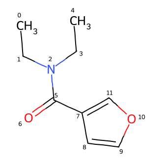 CCN(CC)C(=O)c1ccoc1